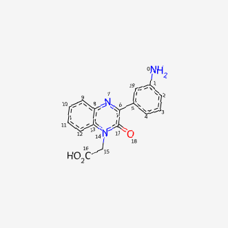 Nc1cccc(-c2nc3ccccc3n(CC(=O)O)c2=O)c1